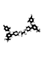 Cc1ccc(Sc2ccc(C(F)(F)F)cc2C2CCN(OC(=O)C(=O)ON3CCC(c4cc(C(F)(F)F)ccc4Sc4ccc(C)cc4C)CC3)CC2)c(C)c1